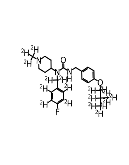 [2H]c1c([2H])c(C([2H])([2H])N(C(=O)NCc2ccc(OC([2H])([2H])C([2H])(C([2H])([2H])[2H])C([2H])([2H])[2H])cc2)C2CCN(C([2H])([2H])[2H])CC2)c([2H])c([2H])c1F